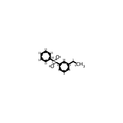 CCc1cccc(S(=O)(=O)c2ccccc2)c1